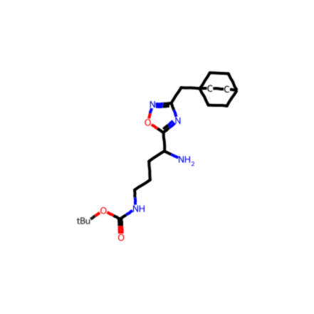 CC(C)(C)OC(=O)NCCCC(N)c1nc(CC23CCC(CC2)CC3)no1